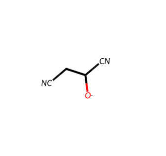 N#CCC([O])C#N